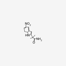 CC(C)(C(N)=O)C1=CC2=CC([N+](=O)[O-])=CCC2N1